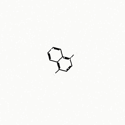 Nc1[c]cc(Cl)c2ccccc12